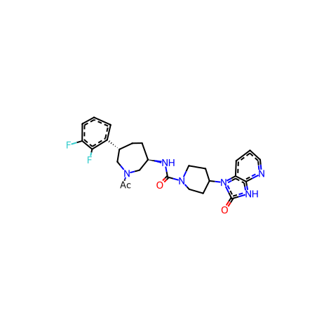 CC(=O)N1C[C@H](NC(=O)N2CCC(n3c(=O)[nH]c4ncccc43)CC2)CC[C@@H](c2cccc(F)c2F)C1